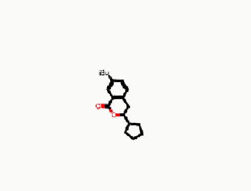 CCC(C)c1ccc2c(c1)C(=O)OC(C1CCCC1)C2